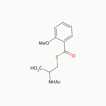 COc1ccccc1C(=O)SCC(NC(C)=O)C(=O)O